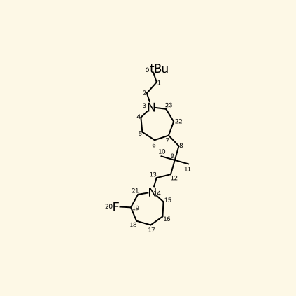 CC(C)(C)CCN1CCCC(CC(C)(C)CCN2CCCCC(F)C2)CC1